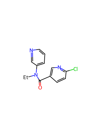 CCN(C(=O)c1ccc(Cl)nc1)c1cccnc1